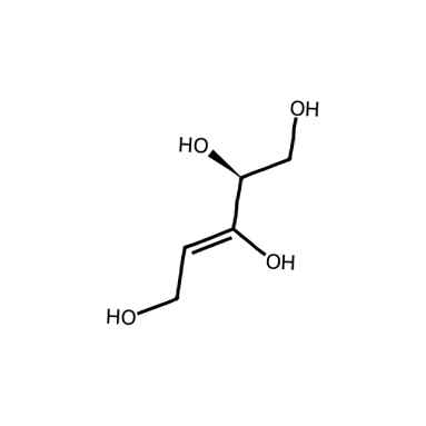 OC/C=C(\O)[C@@H](O)CO